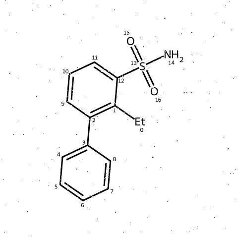 CCc1c(-c2ccccc2)cccc1S(N)(=O)=O